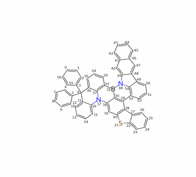 c1ccc(C2(c3ccccc3)c3ccccc3N3c4cc5sc6ccccc6c5c5c4B(c4cccc2c43)n2c3cc4ccccc4cc3c3cccc-5c32)cc1